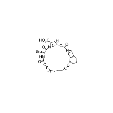 CC1(C)C/C=C/COc2cccc3c2CN(C3)C(=O)O[C@@H]2CC(C(=O)O)N(C2)C(=O)[C@H](C(C)(C)C)NC(=O)OC1